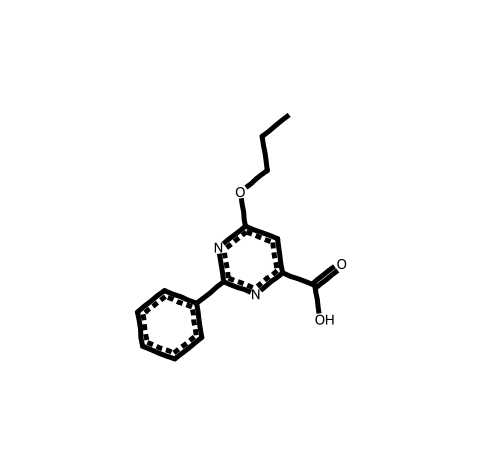 CCCOc1cc(C(=O)O)nc(-c2ccccc2)n1